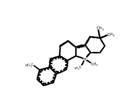 CC1(C)CCC2C(=C3CCc4cc5c(C(=O)O)cccc5cc4C3[N+]2(C)C)C1